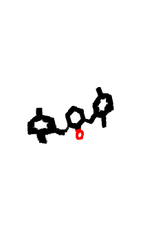 Cc1ccc(C)c(C[C@@H]2CCC[C@@H](Cc3cc(C)ccc3C)C2=O)c1